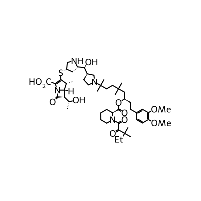 CCC(C)(C)C(=O)C(=O)N1CCCC[C@H]1C(=O)O[C@H](CCc1ccc(OC)c(OC)c1)CC(C)(C)CCC(C)(C)N1CC[C@@H]([C@@H](O)[C@@H]2C[C@H](SC3=C(C(=O)O)N4C(=O)[C@H]([C@@H](C)O)[C@H]4[C@H]3C)CN2)C1